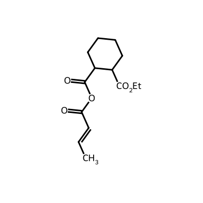 CC=CC(=O)OC(=O)C1CCCCC1C(=O)OCC